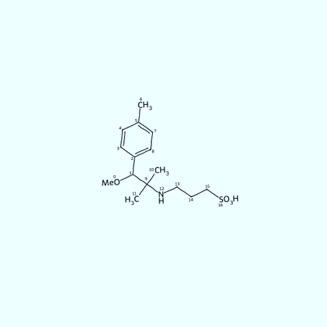 COC(c1ccc(C)cc1)C(C)(C)NCCCS(=O)(=O)O